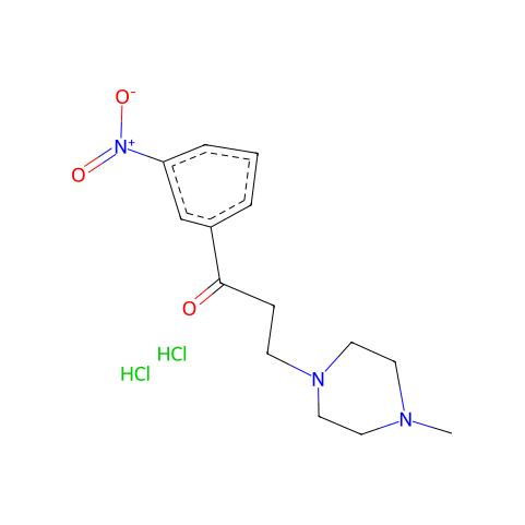 CN1CCN(CCC(=O)c2cccc([N+](=O)[O-])c2)CC1.Cl.Cl